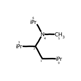 CC(C)CC(C(C)C)N(C)C(C)C